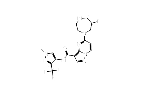 Cn1cc(NC(=O)c2cnn3ccc(N4CCNCC(F)C4)nc23)c(C(F)(F)F)n1